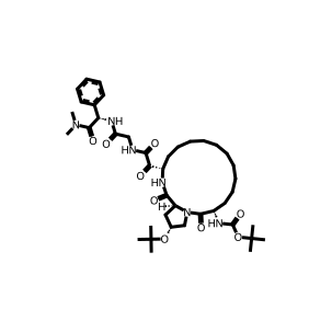 CN(C)C(=O)[C@@H](NC(=O)CNC(=O)C(=O)[C@@H]1CCCCCCCCCC[C@H](NC(=O)OC(C)(C)C)C(=O)N2C[C@H](OC(C)(C)C)C[C@H]2C(=O)N1)c1ccccc1